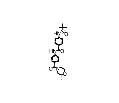 C[C@@H]1CN(C(=O)c2ccc(NC(=O)c3ccc(N[S+]([O-])C(C)(C)C)cc3)cc2)C[C@H](C)O1